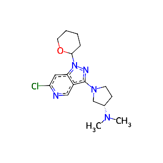 CN(C)[C@H]1CCN(c2nn(C3CCCCO3)c3cc(Cl)ncc23)C1